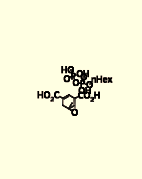 CC12CC(C(=O)O)=CC(C(=O)O)=C1O2.CCCCCCOP(=O)(O)OP(=O)(O)O